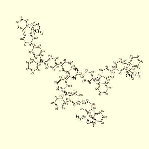 CC1(C)c2ccccc2-c2ccc(-c3ccc4c(c3)c3ccccc3n4-c3ccc(-c4ccc5nc(-c6ccc(-n7c8ccccc8c8cc(-c9ccc%10c(c9)C(C)(C)c9ccccc9-%10)ccc87)cc6)nc(-c6cccc(-n7c8ccccc8c8cc(-c9ccc%10c(c9)C(C)(C)c9ccccc9-%10)ccc87)c6)c5c4)cc3)cc21